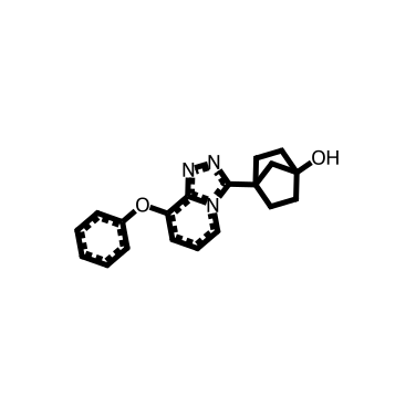 OC12CCC(c3nnc4c(Oc5ccccc5)cccn34)(CC1)C2